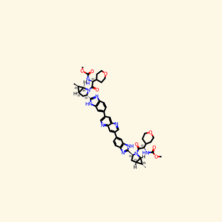 COC(=O)N[C@H](C(=O)N1[C@@H]2[C@H](C)[C@@H]2C[C@H]1c1nc2ccc(-c3cnc4cc(-c5ccc6nc([C@@H]7C[C@H]8[C@@H](C)[C@H]8N7C(=O)[C@@H](NC(=O)OC)C7CCOCC7)[nH]c6c5)cnc4c3)cc2[nH]1)C1CCOCC1